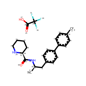 N#C[C@H](Cc1ccc(-c2ccc(C(F)(F)F)cc2)cc1)NC(=O)[C@@H]1CCCCN1.O=C(O)C(F)(F)F